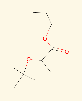 CCC(C)OC(=O)C(C)OC(C)(C)C